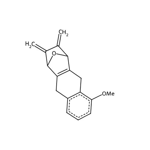 C=C1C(=C)C2OC1C1=C2Cc2c(cccc2OC)C1